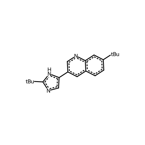 CC(C)(C)c1ccc2cc(-c3cnc(C(C)(C)C)[nH]3)cnc2c1